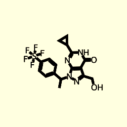 CC(c1ccc(S(F)(F)(F)(F)F)cc1)n1nc(CO)c2c(=O)[nH]c(C3CC3)nc21